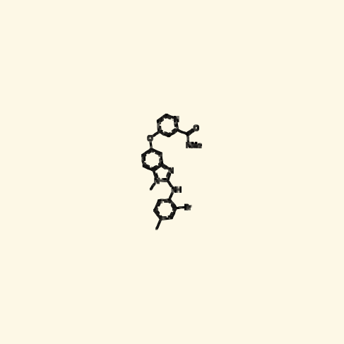 CNC(=O)c1cc(Oc2ccc3c(c2)nc(Nc2ccc(C)cc2Br)n3C)ccn1